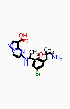 CC(Nc1ccn2ncc(C(=O)O)c2n1)c1cc(Br)cc2c1OC(C)(CN)C2